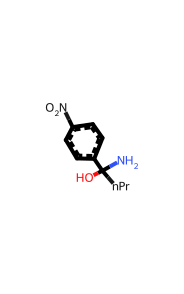 CCCC(N)(O)c1ccc([N+](=O)[O-])cc1